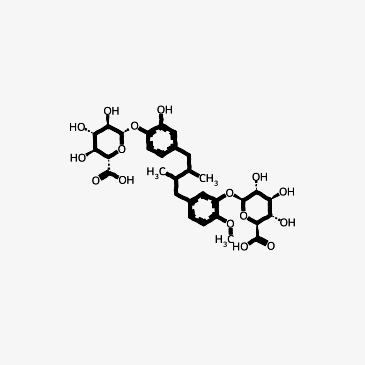 COc1ccc(CC(C)C(C)Cc2ccc(O[C@@H]3O[C@H](C(=O)O)[C@@H](O)[C@H](O)[C@H]3O)c(O)c2)cc1O[C@@H]1O[C@H](C(=O)O)[C@@H](O)[C@H](O)[C@H]1O